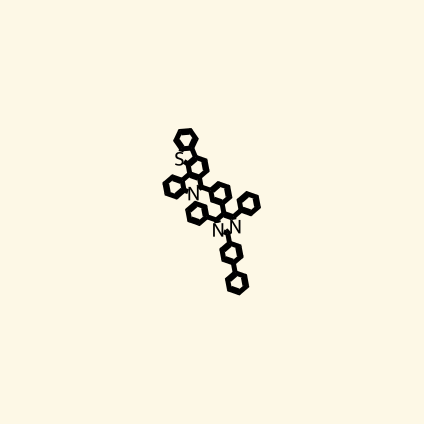 c1ccc(-c2ccc(-c3nc(-c4ccccc4)c(-c4cccc(-c5nc6ccccc6c6c5ccc5c7ccccc7sc56)c4)c(-c4ccccc4)n3)cc2)cc1